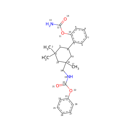 CC1(C)CC(c2ccccc2OC(N)=O)CC(C)(CNC(=O)Oc2ccccc2)C1